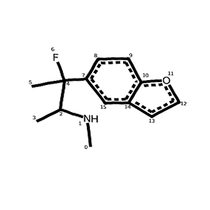 CNC(C)C(C)(F)c1ccc2occc2c1